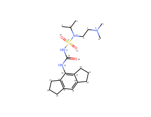 CC(C)N(CCN(C)C)S(=O)(=O)NC(=O)Nc1c2c(cc3c1CCC3)CCC2